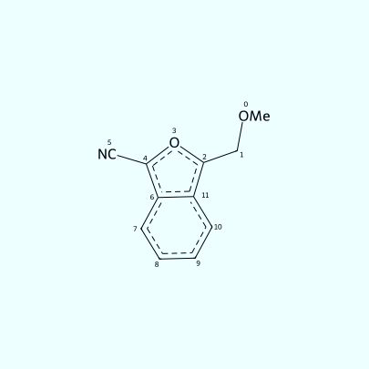 COCc1oc(C#N)c2ccccc12